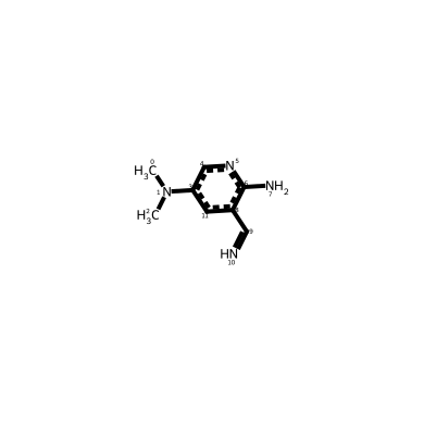 CN(C)c1cnc(N)c(C=N)c1